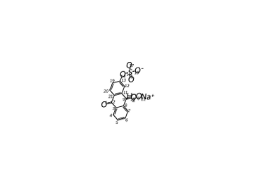 O.O=C1c2ccccc2C(=O)c2cc(OS(=O)(=O)[O-])ccc21.[Na+]